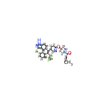 CC#CC(=O)N1CCC(Oc2ccc(C(=C(CC(F)(F)F)c3ccccc3)c3ccc4[nH]nc(F)c4c3)cn2)CC1